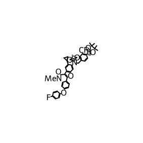 CNC(=O)c1c(-c2ccc(Oc3ccc(F)cc3)cc2)oc2cc(N(Cc3ccc(B4OC(C)(C)C(C)(C)O4)c(C(F)(F)F)c3)S(C)(=O)=O)c(C3CC3)cc12